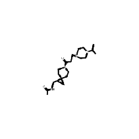 CC(=O)NCC1CC12CCN(C(=O)CCN1CCN(C(C)C)CC1)CC2